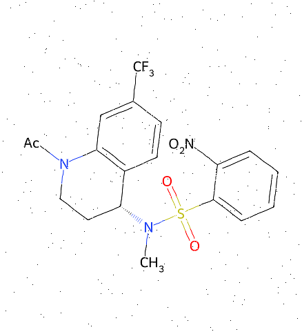 CC(=O)N1CC[C@@H](N(C)S(=O)(=O)c2ccccc2[N+](=O)[O-])c2ccc(C(F)(F)F)cc21